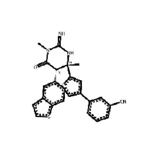 CN1C(=N)N[C@](C)(c2cc(-c3cccc(C#N)c3)cs2)[C@H](c2ccc3sccc3c2)C1=O